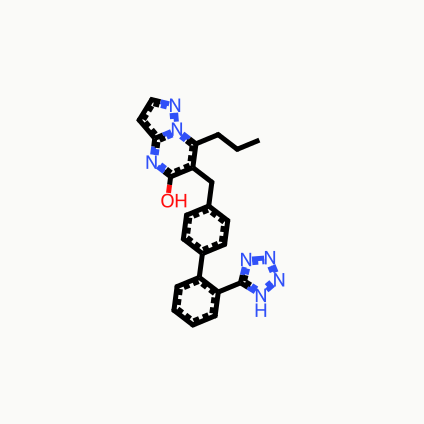 CCCc1c(Cc2ccc(-c3ccccc3-c3nnn[nH]3)cc2)c(O)nc2ccnn12